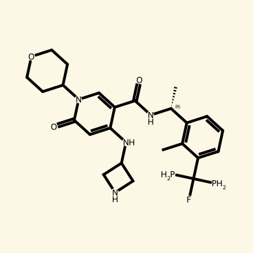 Cc1c([C@@H](C)NC(=O)c2cn(C3CCOCC3)c(=O)cc2NC2CNC2)cccc1C(F)(P)P